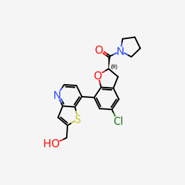 O=C([C@H]1Cc2cc(Cl)cc(-c3ccnc4cc(CO)sc34)c2O1)N1CCCC1